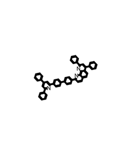 c1ccc(-c2cc(-c3ccccc3)nc(-c3ccc(-c4ccc(-c5ccc6ccc7c(-c8ccccc8)cc(-c8ccccc8)nc7c6n5)cc4)cc3)c2)cc1